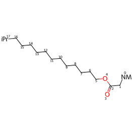 CNCC(=O)OCCCCCCCCCCCCC(C)C